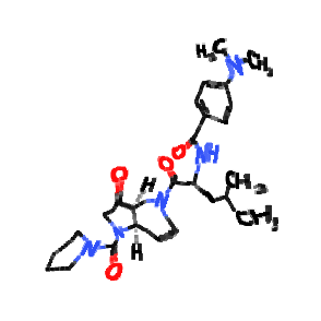 CC(C)C[C@H](NC(=O)c1ccc(N(C)C)cc1)C(=O)N1CC[C@@H]2[C@H]1C(=O)CN2C(=O)N1CCCC1